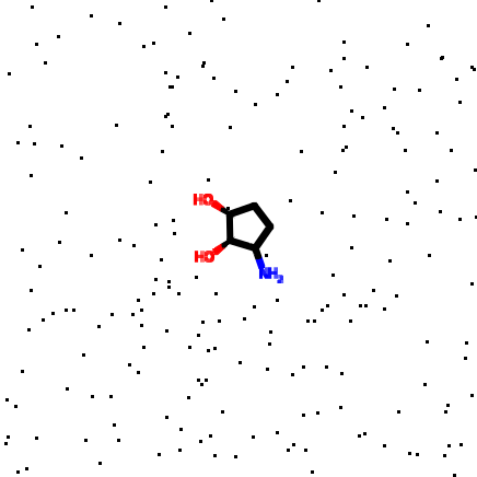 NC1CC[C@H](O)[C@@H]1O